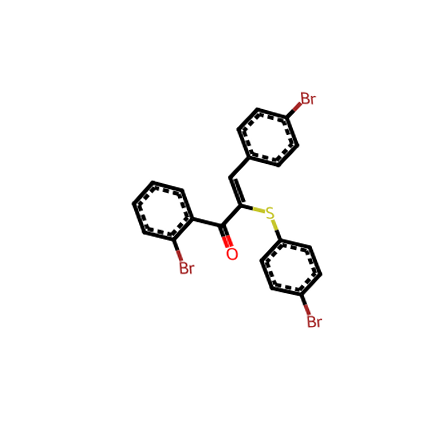 O=C(/C(=C/c1ccc(Br)cc1)Sc1ccc(Br)cc1)c1ccccc1Br